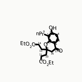 CCCc1c(O)ccc2c1OC(CCC(=O)OCC)(CCC(=O)OCC)CC2=O